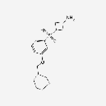 N=S(=O)(c1cccc(OCC2CCCCC2)c1)C1CC(N)C1